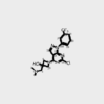 CN(C)CC1(O)CN(c2nc(Cl)nc3c2cnn3-c2cccc(C(F)(F)F)c2)C1